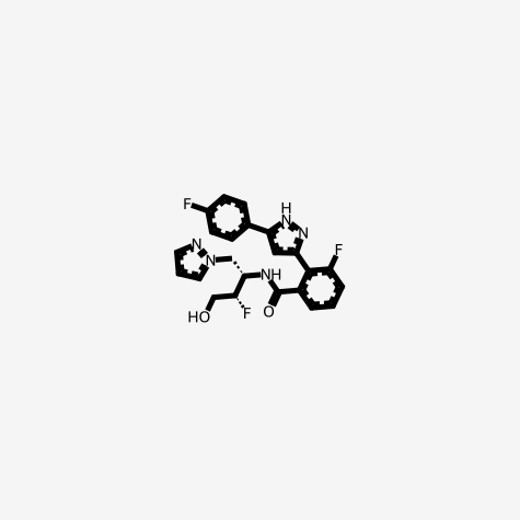 O=C(N[C@@H](Cn1cccn1)[C@H](F)CO)c1cccc(F)c1-c1cc(-c2ccc(F)cc2)[nH]n1